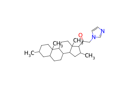 CC1CCC2(C)C(CCC3C2CCC2(C)C3CC(C)C2C(=O)Cn2ccnc2)C1